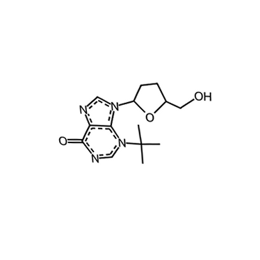 CC(C)(C)n1cnc(=O)c2ncn(C3CCC(CO)O3)c21